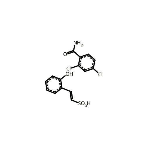 NC(=O)c1ccc(Cl)cc1Cl.O=S(=O)(O)/C=C/c1ccccc1O